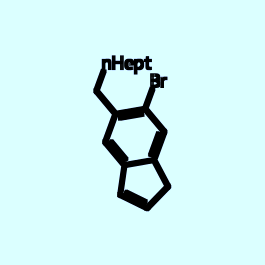 CCCCCCCCc1cc2c(cc1Br)CC=C2